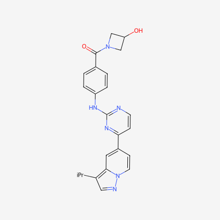 CC(C)c1cnn2ccc(-c3ccnc(Nc4ccc(C(=O)N5CC(O)C5)cc4)n3)cc12